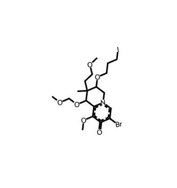 COCCC1(C)C(OCCCI)Cn2cc(Br)c(=O)c(OC)c2C1OCOC